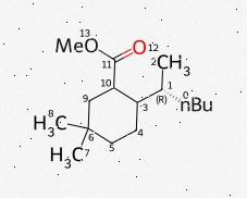 CCCC[C@@H](C)C1CCC(C)(C)CC1C(=O)OC